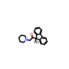 CCCC1(C(=O)CN2CCCCC2)c2ccccc2-c2ccccc21